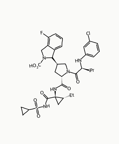 CC[C@@H]1C[C@]1(NC(=O)[C@@H]1C[C@@H](C2c3cccc(F)c3CN2C(=O)O)CN1C(=O)[C@@H](Nc1cccc(Cl)c1)C(C)C)C(=O)NS(=O)(=O)C1CC1